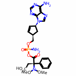 CON(OC)[C@](CC(=O)O)(C(=O)OP(N)(=O)OC[C@H]1C=C[C@@H](n2cnc3c(N)ncnc32)C1)c1ccccc1